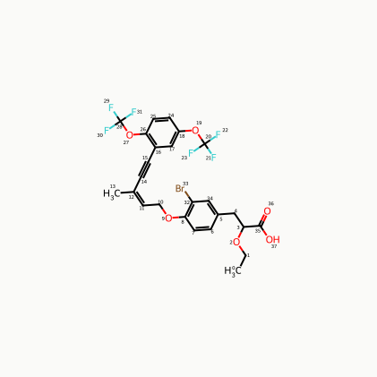 CCOC(Cc1ccc(OCC=C(C)C#Cc2cc(OC(F)(F)F)ccc2OC(F)(F)F)c(Br)c1)C(=O)O